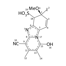 CO[C@@]1(I)C=Cc2c(nc3c(C#N)c(C)c(C)c(O)n23)C1S(=O)(=O)O